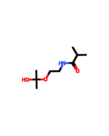 CC(C)C(=O)NCCOC(C)(C)O